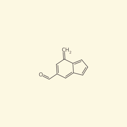 C=c1cc(C=O)cc2c1=CC=C2